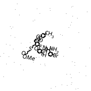 COC(=O)CCCSCCc1c(Oc2ccc(F)c(-c3ncc(C(N)c4cccc(Br)c4)[nH]3)c2)c(F)cc2c1ccn2S(=O)(=O)c1ccc(C)cc1